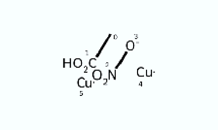 CC(=O)O.O=[N+]([O-])[O-].[Cu].[Cu]